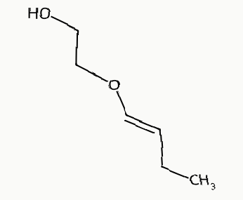 CCC=COCCO